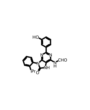 CC(C)c1ccccc1-n1c(=O)[nH]c2c(NC=O)nc(-c3cccc(O)c3)nc21